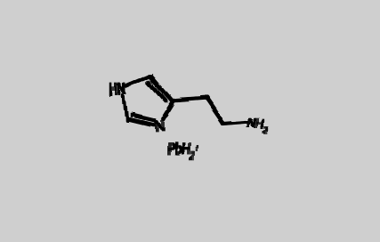 NCCc1c[nH]cn1.[PbH2]